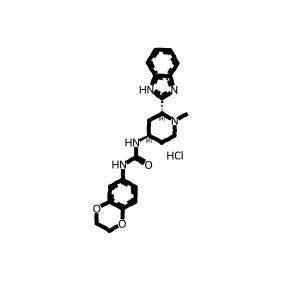 CN1CC[C@@H](NC(=O)Nc2ccc3c(c2)OCCO3)C[C@@H]1c1nc2ccccc2[nH]1.Cl